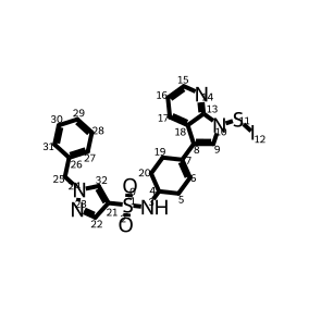 O=S(=O)(NC1CC=C(c2cn(SI)c3ncccc23)CC1)c1cnn(Cc2ccccc2)c1